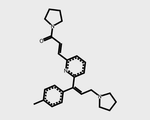 Cc1ccc(C(=CCN2CCCC2)c2cccc(C=CC(=O)N3CCCC3)n2)cc1